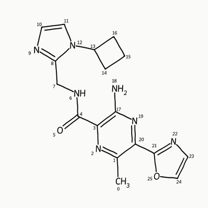 Cc1nc(C(=O)NCc2nccn2C2CCC2)c(N)nc1-c1ncco1